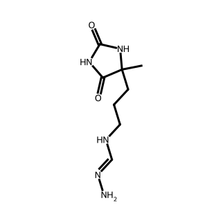 CC1(CCCNC=NN)NC(=O)NC1=O